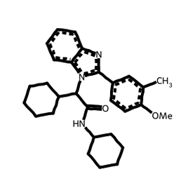 COc1ccc(-c2nc3ccccc3n2C(C(=O)NC2CCCCC2)C2CCCCC2)cc1C